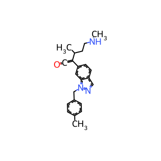 CNCCC(C)C(=C=O)c1ccc2cnn(Cc3ccc(C)cc3)c2c1